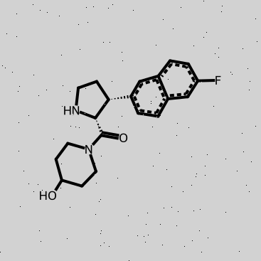 O=C([C@@H]1NCC[C@@H]1c1ccc2cc(F)ccc2c1)N1CCC(O)CC1